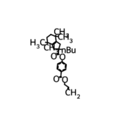 C=CCOC(=O)c1ccc(OC(=O)C2(CCCC)CC3=C(C2)C(C)(C)CCC3(C)C)cc1